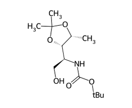 C[C@H]1OC(C)(C)O[C@H]1[C@H](CO)NC(=O)OC(C)(C)C